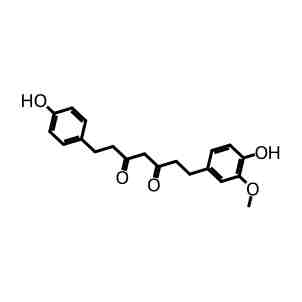 COc1cc(CCC(=O)CC(=O)CCc2ccc(O)cc2)ccc1O